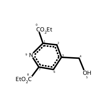 CCOC(=O)c1cc(CO)cc(C(=O)OCC)n1